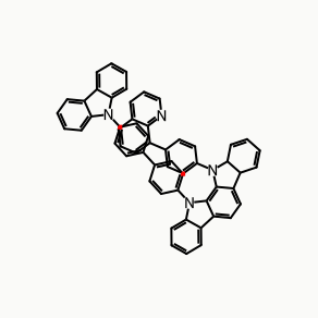 C1=CC2c3ccc4c5ccccc5n(-c5ccc(-c6ccc(-n7c8ccccc8c8ccccc87)cc6)cc5)c4c3N(c3ccc(-c4cccc5cccnc45)cc3)C2C=C1